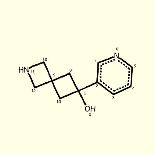 OC1(c2cccnc2)CC2(CNC2)C1